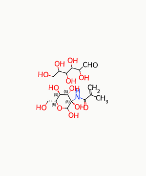 C=C(C)C(=O)N[C@]1(O)C(O)O[C@H](CO)[C@@H](O)[C@@H]1O.O=CC(O)C(O)C(O)C(O)CO